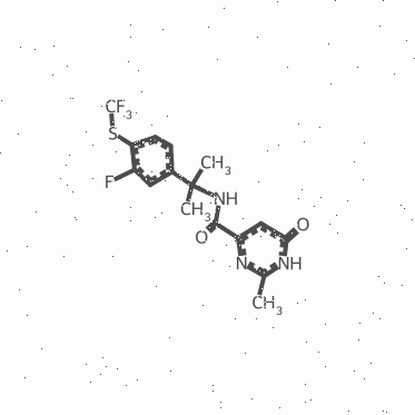 Cc1nc(C(=O)NC(C)(C)c2ccc(SC(F)(F)F)c(F)c2)cc(=O)[nH]1